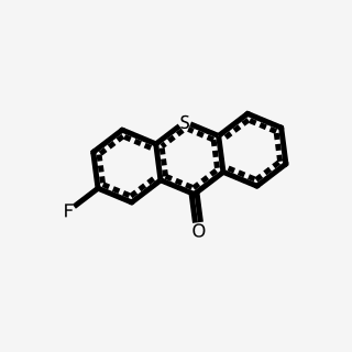 O=c1c2ccccc2sc2ccc(F)cc12